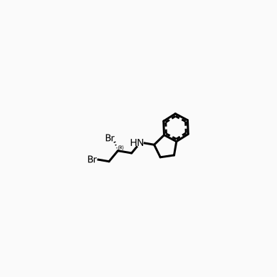 BrC[C@H](Br)CNC1CCc2ccccc21